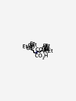 CCO[Si](CCC/C(C(=O)O)=C(/CCC[Si](OCC)(OCC)OCC)C(=O)O)(OCC)OCC